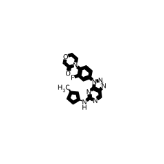 C[C@@H]1CC[C@@H](Nc2ncc3nnn(-c4ccc(N5CCOCC5=O)c(F)c4)c3n2)C1